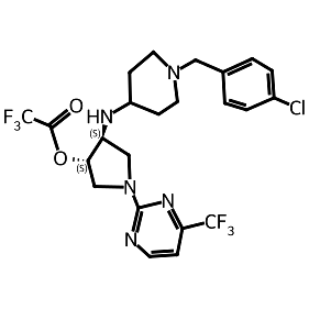 O=C(O[C@H]1CN(c2nccc(C(F)(F)F)n2)C[C@@H]1NC1CCN(Cc2ccc(Cl)cc2)CC1)C(F)(F)F